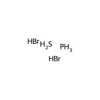 Br.Br.P.S